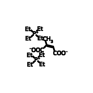 C/C(=C/C(=O)[O-])C(=O)[O-].CC[P+](CC)(CC)CC.CC[P+](CC)(CC)CC